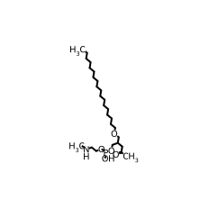 CCCCCCCCCCCCCCCCCCOCC(COP(O)OCCNC)CC(C)=O